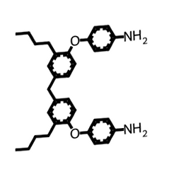 CCCCc1cc(Cc2ccc(Oc3ccc(N)cc3)c(CCCC)c2)ccc1Oc1ccc(N)cc1